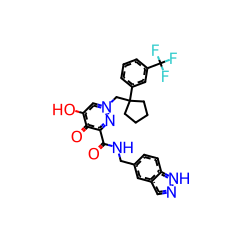 O=C(NCc1ccc2[nH]ncc2c1)c1nn(CC2(c3cccc(C(F)(F)F)c3)CCCC2)cc(O)c1=O